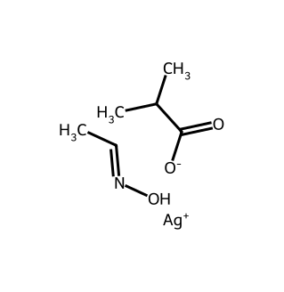 C/C=N/O.CC(C)C(=O)[O-].[Ag+]